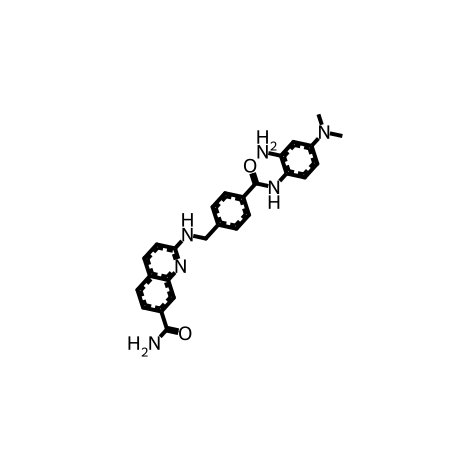 CN(C)c1ccc(NC(=O)c2ccc(CNc3ccc4ccc(C(N)=O)cc4n3)cc2)c(N)c1